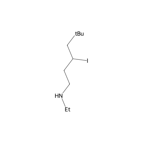 CCNCCC(I)CC(C)(C)C